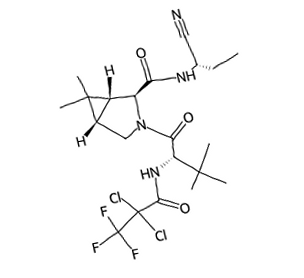 CC[C@@H](C#N)NC(=O)[C@@H]1[C@@H]2[C@H](CN1C(=O)[C@@H](NC(=O)C(Cl)(Cl)C(F)(F)F)C(C)(C)C)C2(C)C